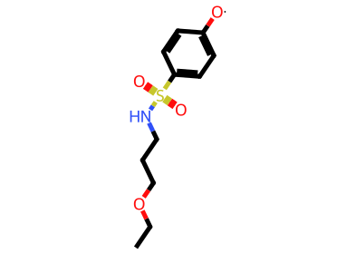 CCOCCCNS(=O)(=O)c1ccc([O])cc1